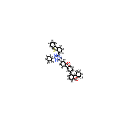 c1ccc(-c2nc(-c3ccc4c(c3)oc3ccc(-c5cccc6oc7ccccc7c56)cc34)nc(-c3cccc4c3sc3ccccc34)n2)cc1